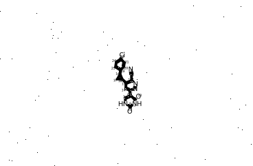 N#Cc1nnc(-c2c[nH]c(=O)[nH]c2=O)cc1C1CC1c1ccc(Cl)cc1